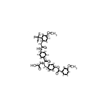 COc1cccc(C(=O)Oc2ccc(CN(CC(=O)O)C(=O)c3ccc(NC(=O)Cc4ccc(OC)cc4C(F)(F)F)cc3)cc2)c1